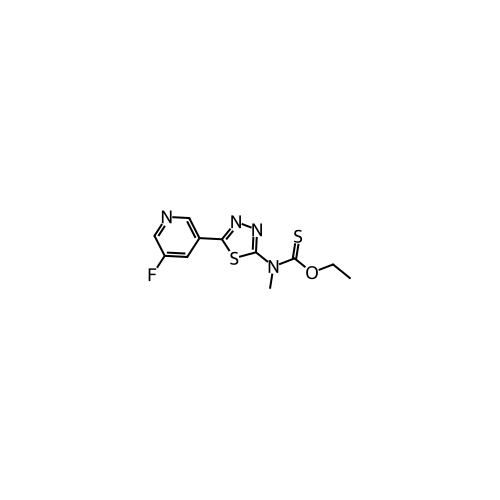 CCOC(=S)N(C)c1nnc(-c2cncc(F)c2)s1